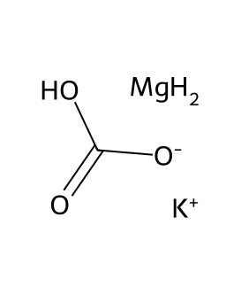 O=C([O-])O.[K+].[MgH2]